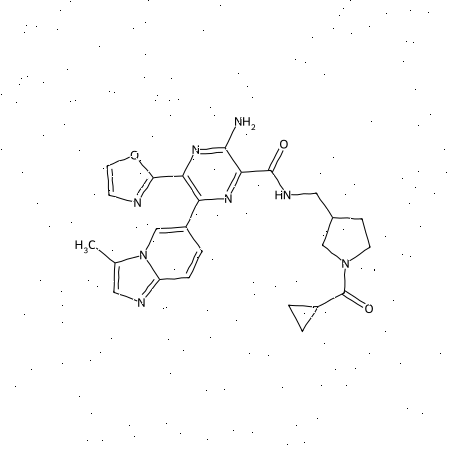 Cc1cnc2ccc(-c3nc(C(=O)NCC4CCN(C(=O)C5CC5)C4)c(N)nc3-c3ncco3)cn12